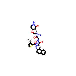 Cc1ccsc1C(=O)N[C@@H](Cc1cccc2ccccc12)C(=O)NCC(=O)N[C@H](C=O)C[C@@H]1CCCNC1=O